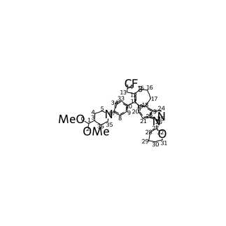 COC(OC)C1CCN(c2ccc(C3=C(CC(F)(F)F)CCCc4c3ccc3c4cnn3C3CCCCO3)cc2)CC1